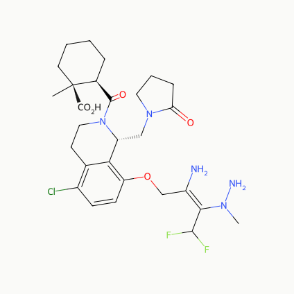 CN(N)/C(=C(\N)COc1ccc(Cl)c2c1[C@@H](CN1CCCC1=O)N(C(=O)[C@@H]1CCCC[C@]1(C)C(=O)O)CC2)C(F)F